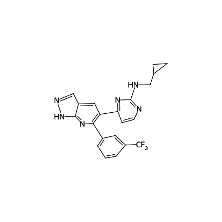 FC(F)(F)c1cccc(-c2nc3[nH]ncc3cc2-c2ccnc(NCC3CC3)n2)c1